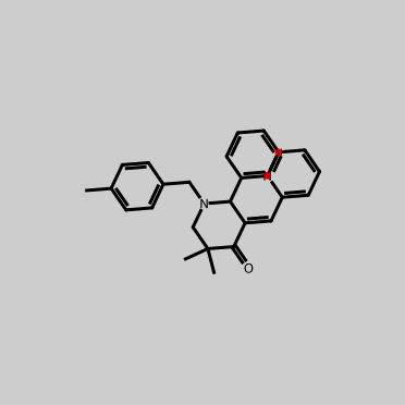 Cc1ccc(CN2CC(C)(C)C(=O)/C(=C/c3ccccn3)C2c2ccccc2)cc1